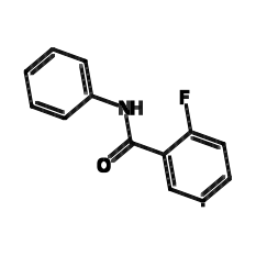 O=C(Nc1ccccc1)c1c[c]ccc1F